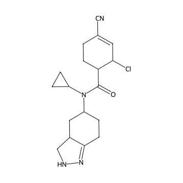 N#CC1=CC(Cl)C(C(=O)N(C2CC2)C2CCC3=NNCC3C2)CC1